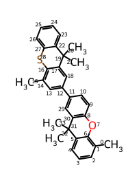 Cc1cccc2c1Oc1ccc(-c3cc(C)c4c(c3)C(C)(C)c3ccccc3S4)cc1C2(C)C